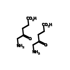 NCC(=O)CCC(=O)O.NCC(=O)CCC(=O)O